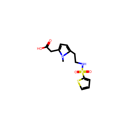 Cn1c(CCNS(=O)(=O)c2cccs2)ccc1CC(=O)O